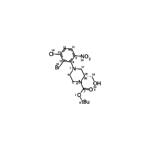 CC(C)(C)OC(=O)N1CCN(c2c([N+](=O)[O-])ccc(Cl)c2Br)C[C@@H]1CO